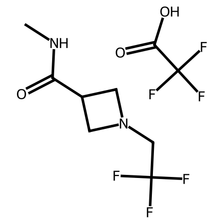 CNC(=O)C1CN(CC(F)(F)F)C1.O=C(O)C(F)(F)F